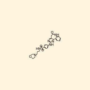 O=C1Cc2cnc(Nc3ccc(S(=O)(=O)NCCCN4CCOCC4)cc3)nc2-c2ccccc2N1